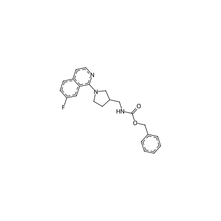 O=C(NCC1CCN(c2nccc3ccc(F)cc23)C1)OCc1ccccc1